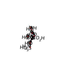 N[C@H](CCCNS(=O)(=O)c1ccc(-c2ccc(S(=O)(=O)N[C@@H](CNC(=O)c3ccc4c(cnn4CCCNc4ncc[nH]4)c3)C(=O)O)cc2)cc1)CS(=O)(=O)O.O=C(O)C(F)(F)F